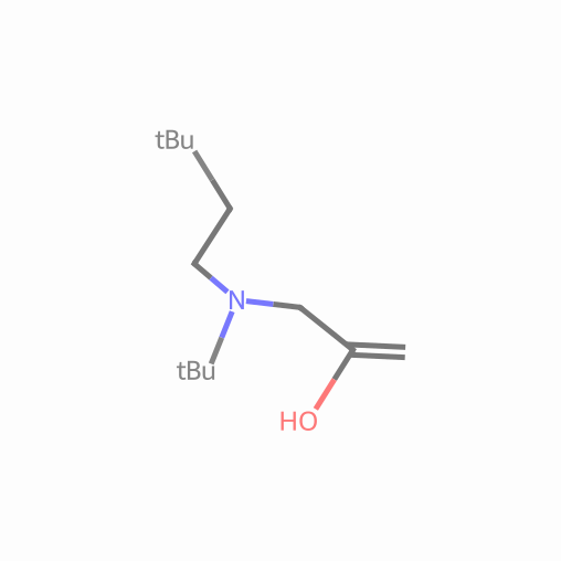 C=C(O)CN(CCC(C)(C)C)C(C)(C)C